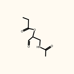 CCC(=O)OC(C=O)CNC(C)=O